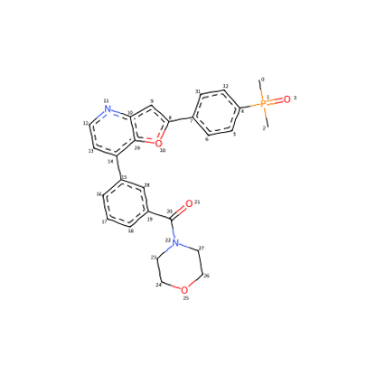 CP(C)(=O)c1ccc(-c2cc3nccc(-c4cccc(C(=O)N5CCOCC5)c4)c3o2)cc1